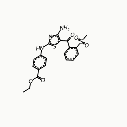 CCOC(=O)c1ccc(Nc2nc(N)c(C(=O)c3ccccc3S(C)(=O)=O)s2)cc1